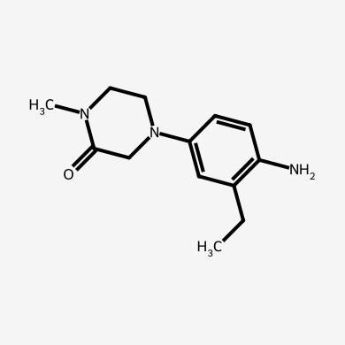 CCc1cc(N2CCN(C)C(=O)C2)ccc1N